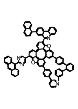 Cc1cccc(-c2ccccc2-c2ccc(-c3cc4oc5c(-c6nc7ccccc7c7ccc(-c8cccc9ccccc89)cc67)ccc6c7ccc(-c8cnc(-c9c%10ccccc%10cc%10ccccc9%10)nc8)c8oc9cc(-c%10ccc(-c%11cccnc%11)cc%10)cc(c(c3)c4c56)c9c87)cc2)c1